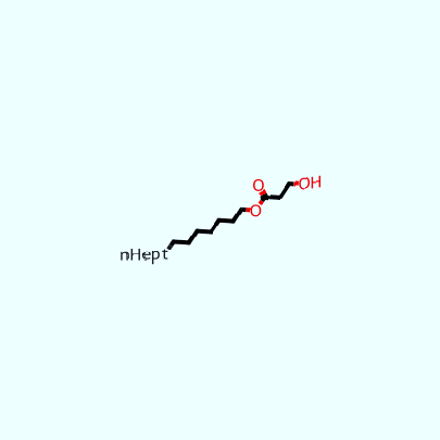 CCCCCCCCCCCCCCOC(=O)CCO